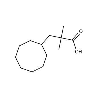 CC(C)(CC1CCCCCCC1)C(=O)O